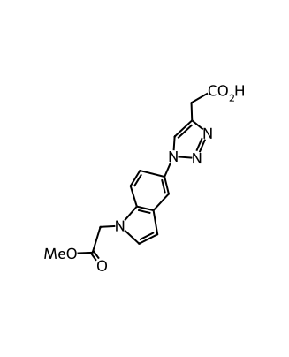 COC(=O)Cn1ccc2cc(-n3cc(CC(=O)O)nn3)ccc21